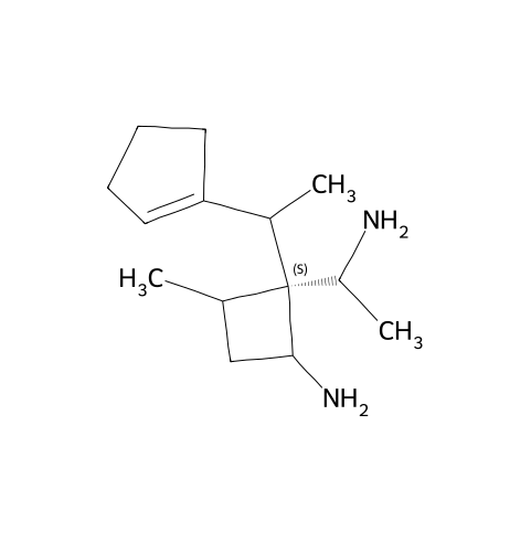 CC(N)[C@@]1(C(C)C2=CCCC2)C(C)CC1N